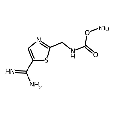 CC(C)(C)OC(=O)NCc1ncc(C(=N)N)s1